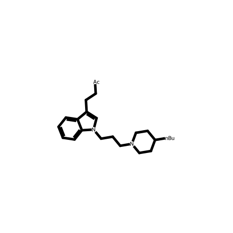 CCCCC1CCN(CCCn2cc(CCC(C)=O)c3ccccc32)CC1